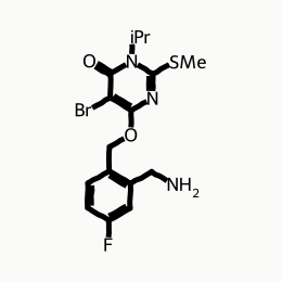 CSc1nc(OCc2ccc(F)cc2CN)c(Br)c(=O)n1C(C)C